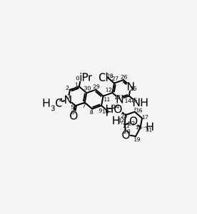 CC(C)c1cn(C)c(=O)c2cc(F)c(-c3nc(N[C@@H]4C[C@H]5CO[C@H](O5)[C@H]4O)ncc3Cl)cc12